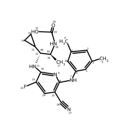 Cc1cc(C)cc(Nc2nc(N[C@H](C3CC3)[C@H](C)NC(=O)O)c(F)cc2C#N)c1